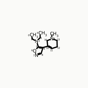 CCN(CC)c1oncc1C1=CCCN(C)C1